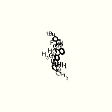 CC1CCN=C(Nc2cc(-c3cccc(-n4ncc5cc(C(C)(C)C)cc(F)c5c4=O)c3CO)cn(C)c2=O)O1